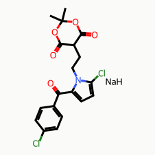 CC1(C)OC(=O)C(CCn2c(Cl)ccc2C(=O)c2ccc(Cl)cc2)C(=O)O1.[NaH]